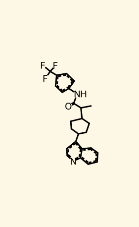 CC(C(=O)Nc1ccc(C(F)(F)F)cc1)C1CCC(c2ccnc3ccccc23)CC1